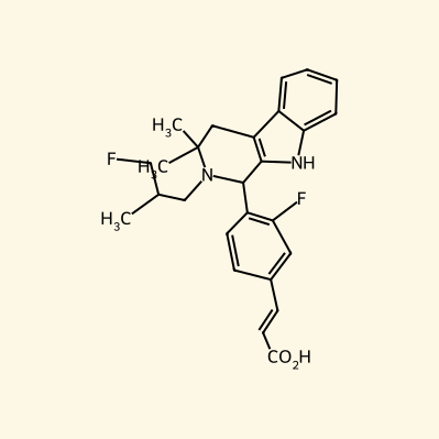 CC(CF)CN1C(c2ccc(C=CC(=O)O)cc2F)c2[nH]c3ccccc3c2CC1(C)C